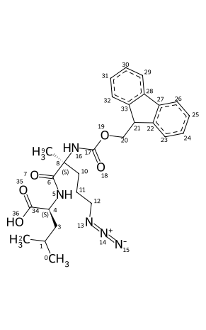 CC(C)C[C@H](NC(=O)[C@](C)(CCCN=[N+]=[N-])NC(=O)OCC1c2ccccc2-c2ccccc21)C(=O)O